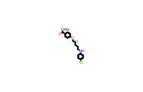 COC(=O)c1ccc(OCCCCCNc2ccc(Cl)cc2)cc1.Cl